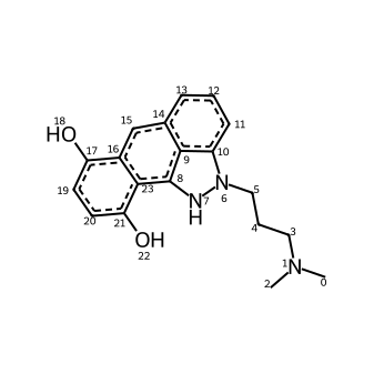 CN(C)CCCN1Nc2c3c1cccc3cc1c(O)ccc(O)c21